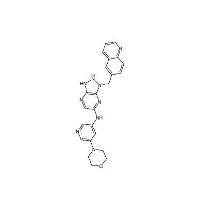 c1cnc2ccc(CN3NNc4ncc(Nc5cncc(N6CCOCC6)c5)nc43)cc2c1